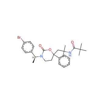 C[C@@H](c1ccc(Br)cc1)N1CCC(CC(C)(C)NC(=O)C(C)(C)C)(c2ccccc2)OC1=O